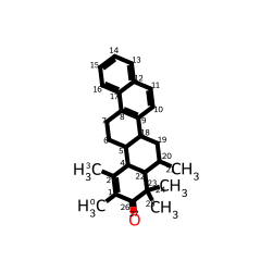 CC1=C(C)C2C3CCc4c(ccc5ccccc45)C3CC(C)C2C(C)(C)C1=O